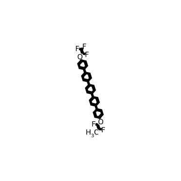 C/C(F)=C(\F)Oc1ccc(-c2ccc(-c3ccc(-c4ccc(-c5ccc(OC(F)=C(F)F)cc5)cc4)cc3)cc2)cc1